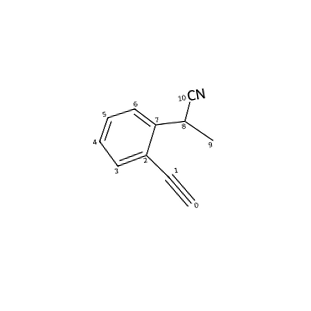 C#Cc1ccccc1C(C)C#N